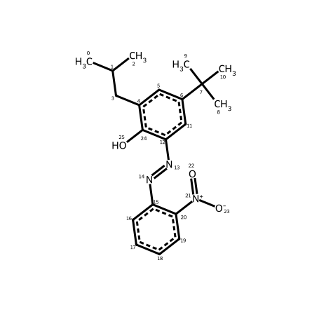 CC(C)Cc1cc(C(C)(C)C)cc(N=Nc2ccccc2[N+](=O)[O-])c1O